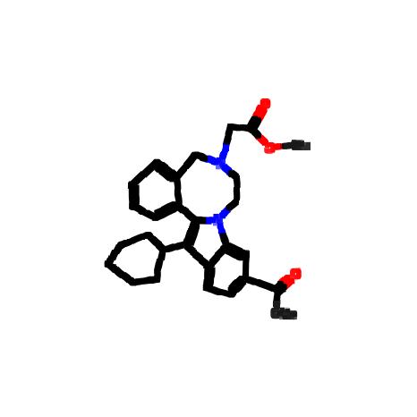 COC(=O)c1ccc2c(C3CCCCC3)c3n(c2c1)CCN(CC(=O)OC(C)(C)C)Cc1ccccc1-3